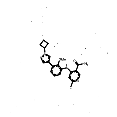 COc1c(Nc2cc(Cl)ncc2C(N)=O)cccc1-c1cnn(C2CCC2)c1